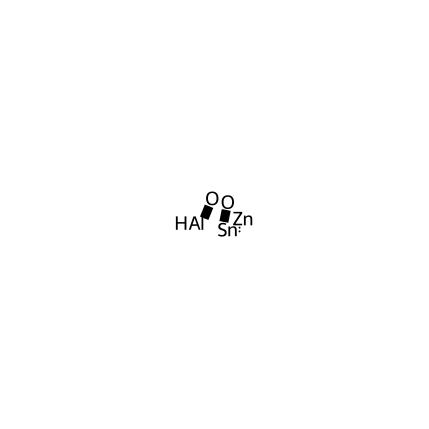 [O]=[AlH].[O]=[Sn].[Zn]